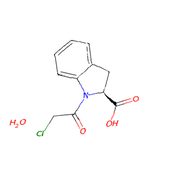 O.O=C(O)[C@@H]1Cc2ccccc2N1C(=O)CCl